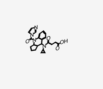 O=C(O)CCC(=O)N(C1CC1)C1c2ccccc2N(C(=O)n2ccnc2)C2CCCC21